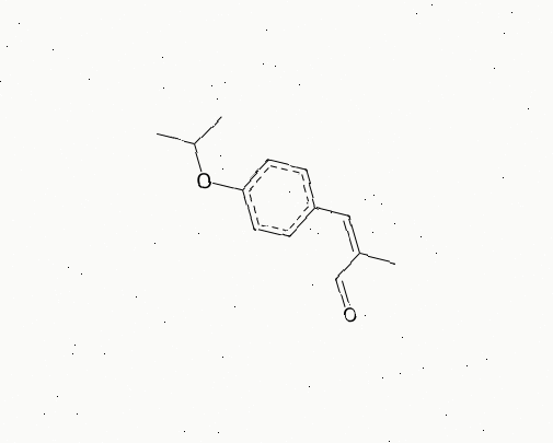 CC(C=O)=Cc1ccc(OC(C)C)cc1